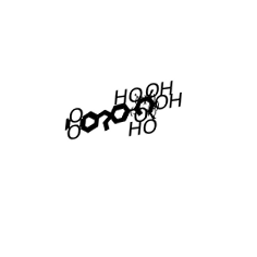 CCC1(Cc2ccc3c(c2)OCCO3)C=CC([C@@H]2O[C@H](CO)[C@@H](O)[C@H](O)[C@H]2O)=CC1